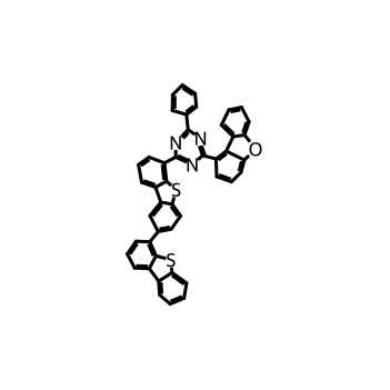 c1ccc(-c2nc(-c3cccc4c3sc3ccc(-c5cccc6c5sc5ccccc56)cc34)nc(-c3cccc4oc5ccccc5c34)n2)cc1